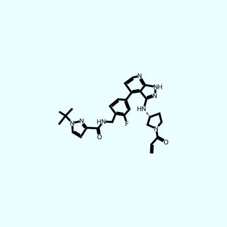 C=CC(=O)N1CC[C@@H](Nc2n[nH]c3nccc(-c4ccc(CNC(=O)c5ccn(C(C)(C)C)n5)c(F)c4)c23)C1